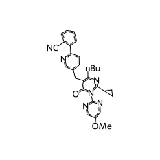 CCCCc1nc(C2CC2)n(-c2ncc(OC)cn2)c(=O)c1Cc1ccc(-c2ccccc2C#N)nc1